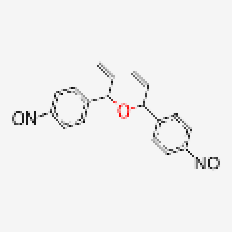 C=CC(OC(C=C)c1ccc(N=O)cc1)c1ccc(N=O)cc1